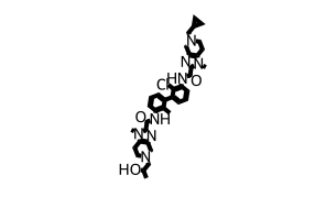 Cc1c(NC(=O)c2nc3c(n2C)CCN(CC(C)O)C3)cccc1-c1cccc(NC(=O)c2nc3c(n2C)CCN(CC2CC2)C3)c1Cl